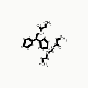 C=CC(=O)OCC(c1ccccc1)c1ccccc1.C=CCOCOC(=O)C=C